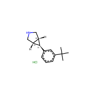 CC(C)(C)c1cccc([C@H]2[C@@H]3CNC[C@@H]32)c1.Cl